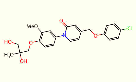 COc1cc(-n2ccc(COc3ccc(Cl)cc3)cc2=O)ccc1OCC(C)(O)CO